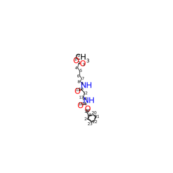 COC(=O)CCCCCNC(=O)CCNC(=O)OCc1ccccc1